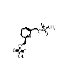 CS(=O)(=O)OCc1cccc(COS(C)(=O)=O)n1